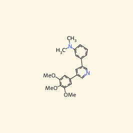 COc1cc(-c2cncc(-c3cccc(N(C)C)c3)c2)cc(OC)c1OC